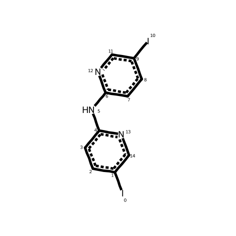 Ic1ccc(Nc2ccc(I)cn2)nc1